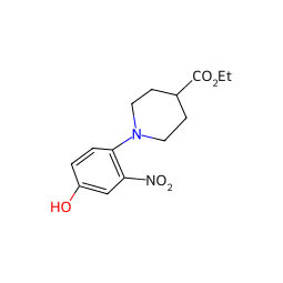 CCOC(=O)C1CCN(c2ccc(O)cc2[N+](=O)[O-])CC1